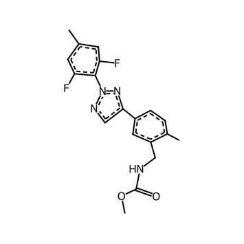 COC(=O)NCc1cc(-c2cnn(-c3c(F)cc(C)cc3F)n2)ccc1C